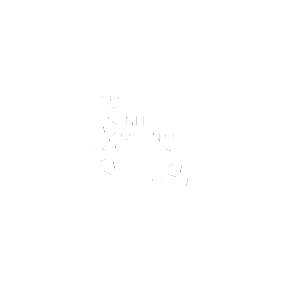 COC(=O)C[C@@H](NC(=O)C1CCN(C(=O)/C=C/c2cc3ccsc3c(Cl)c2Cl)CC1)c1cccc(NC(=O)c2ccccc2)c1